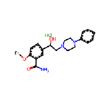 CCOc1ccc(C(O)CN2CCN(c3ccccc3)CC2)cc1C(N)=O.Cl